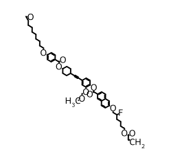 C=CC(=O)OCCCCC(F)COc1ccc2cc(C(=O)Oc3ccc(C#CC4CCC(OC(=O)c5ccc(OCCCCCCCCC6CO6)cc5)CC4)cc3OCOC)ccc2c1